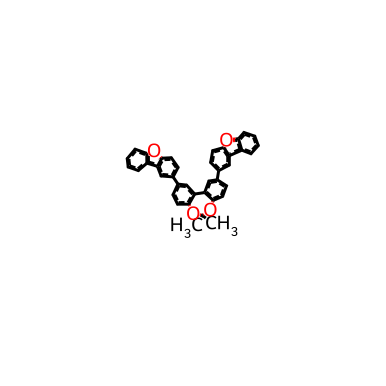 CC1(C)Oc2ccc(-c3ccc4oc5ccccc5c4c3)cc2-c2cc(-c3ccc4oc5ccccc5c4c3)ccc2O1